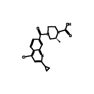 C[C@@H]1CN(C(=O)c2ccc3c(Cl)cc(C4CC4)nc3c2)CCN1C(=O)O